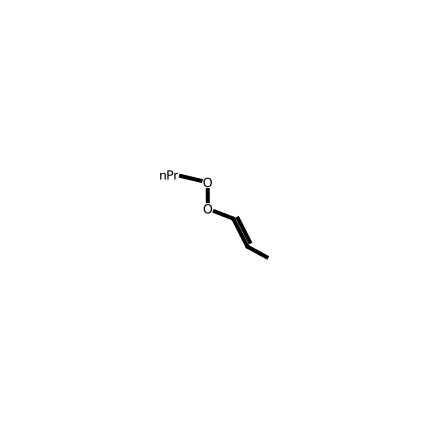 CC=COOCCC